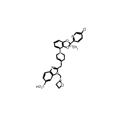 C[C@@]1(c2ccc(Cl)cn2)Oc2cccc(N3CC=C(Cc4nc5ccc(C(=O)O)cc5n4C[C@@H]4CCO4)CC3)c2O1